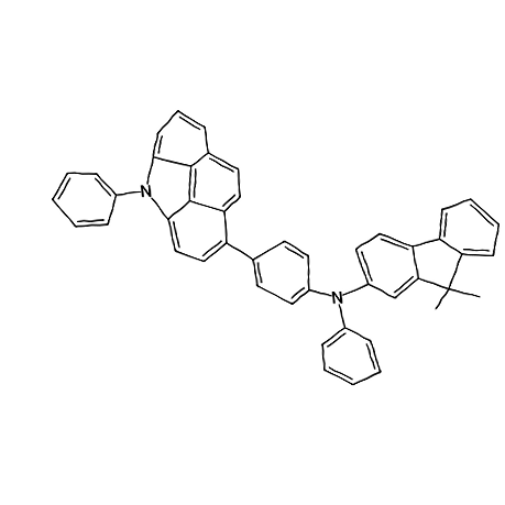 CC1(C)c2ccccc2-c2ccc(N(c3ccccc3)c3ccc(-c4ccc5c6c4ccc4cccc(c46)n5-c4ccccc4)cc3)cc21